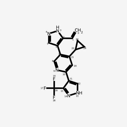 C=Cc1[nH]ncc1-c1cnc(-c2c[nH]nc2C(F)(F)F)cc1C1CC1